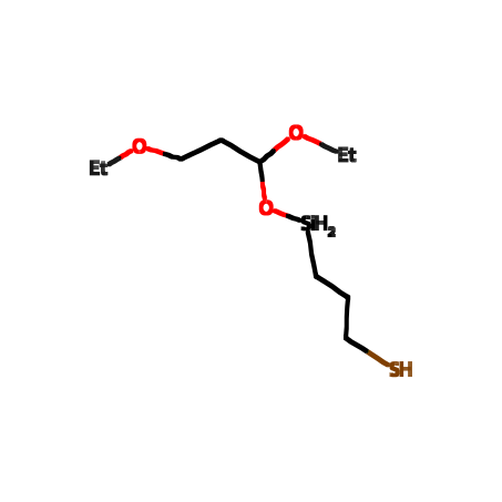 CCOCCC(OCC)O[SiH2]CCCS